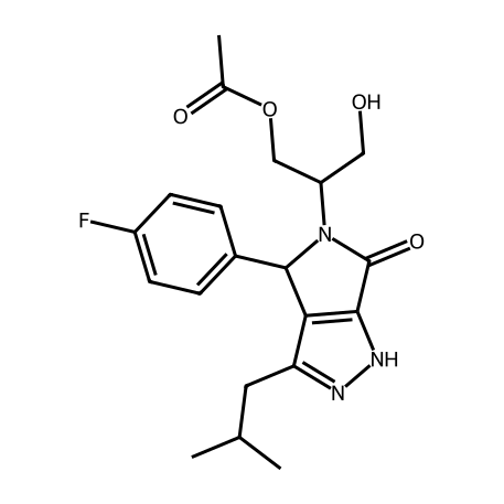 CC(=O)OCC(CO)N1C(=O)c2[nH]nc(CC(C)C)c2C1c1ccc(F)cc1